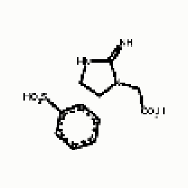 N=C1NCCN1CC(=O)O.O=S(=O)(O)c1ccccc1